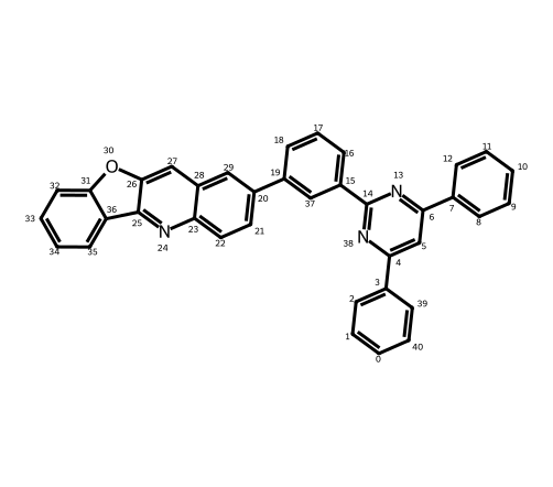 c1ccc(-c2cc(-c3ccccc3)nc(-c3cccc(-c4ccc5nc6c(cc5c4)oc4ccccc46)c3)n2)cc1